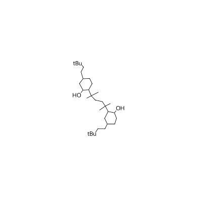 CC(C)(C)CCC1CCC(C(C)(C)CCC(C)(C)C2CC(CCC(C)(C)C)CCC2O)C(O)C1